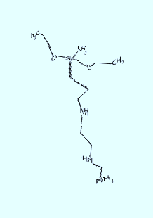 CCO[Si](C)(CCCNCCNCN)OCC